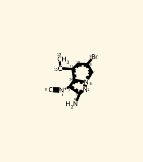 [C-]#[N+]c1c(N)nn2cc(Br)cc(OC)c12